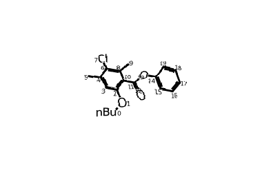 CCCCOc1cc(C)c(Cl)c(C)c1C(=O)Oc1ccccc1